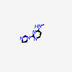 CNc1ccnc(-n2ccnc2)n1